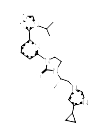 CC(C)n1cnnc1-c1cccc(N2CCN([C@H](C)Cn3cnc(C4CC4)c3)C2=O)n1